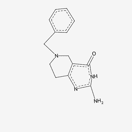 Nc1nc2c(c(=O)[nH]1)CN(Cc1ccccc1)CC2